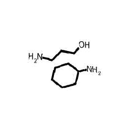 NC1CCCCC1.NCCCO